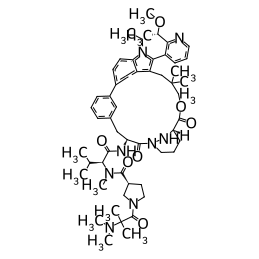 CCn1c(-c2cccnc2[C@H](C)OC)c2c3cc(ccc31)-c1cccc(c1)C[C@H](NC(=O)[C@H](C(C)C)N(C)C(=O)[C@H]1CCN(C(=O)C(C)(C)N(C)C)C1)C(=O)N1CCC[C@H](N1)C(=O)OCC(C)(C)C2